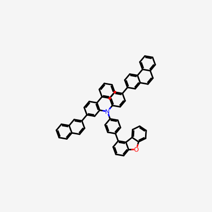 c1ccc(-c2ccc(-c3ccc4ccccc4c3)cc2N(c2ccc(-c3ccc4c(ccc5ccccc54)c3)cc2)c2ccc(-c3cccc4oc5ccccc5c34)cc2)cc1